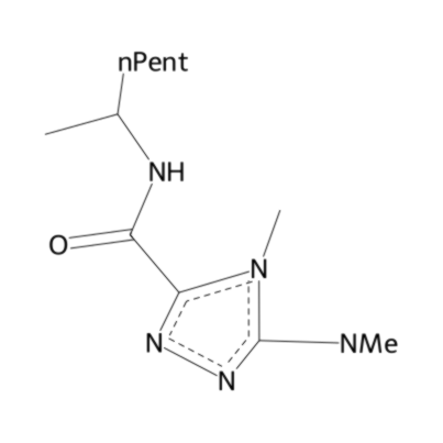 CCCCCC(C)NC(=O)c1nnc(NC)n1C